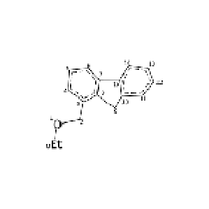 CCOCc1cccc2c1Cc1ccccc1-2